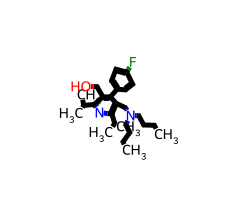 CCCCN(CCCC)Cc1c(C(C)C)nc(C(C)C)c(CO)c1-c1ccc(F)cc1